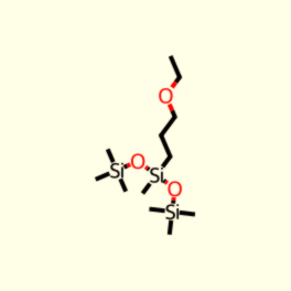 CCOCCC[Si](C)(O[Si](C)(C)C)O[Si](C)(C)C